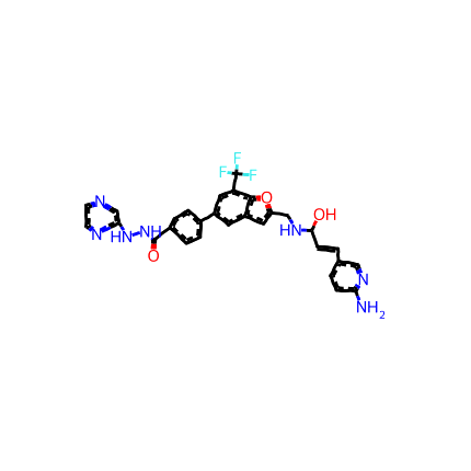 Nc1ccc(/C=C/C(O)NCc2cc3cc(-c4ccc(C(=O)NNc5cnccn5)cc4)cc(C(F)(F)F)c3o2)cn1